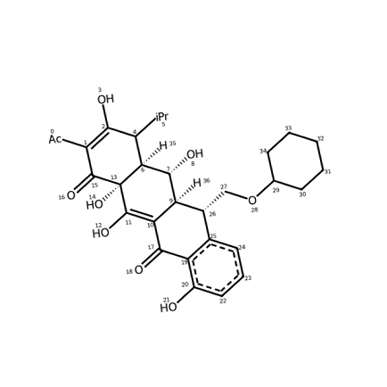 CC(=O)C1=C(O)C(C(C)C)[C@H]2[C@H](O)[C@@H]3C(=C(O)[C@@]2(O)C1=O)C(=O)c1c(O)cccc1[C@H]3COC1CCCCC1